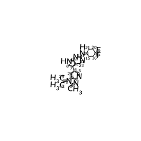 Cc1nc2ncc(-c3c[nH]c4nc(NC5CCC(F)(F)CC5)ncc34)cc2n1C(C)C